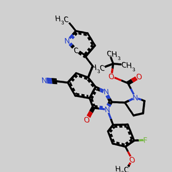 COc1ccc(-n2c(C3CCCN3C(=O)OC(C)(C)C)nc3c(Cc4ccc(C)nc4)cc(C#N)cc3c2=O)cc1F